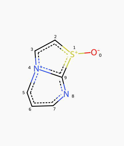 [O-][s+]1cc[n+]2cccnc21